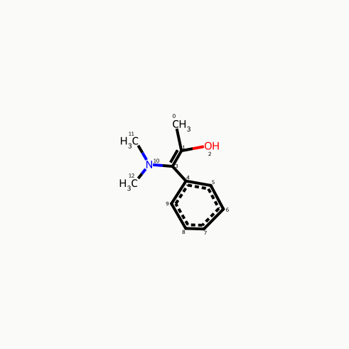 CC(O)=C(c1ccccc1)N(C)C